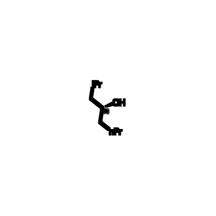 CCCC[C@@H](O)CC(C)C